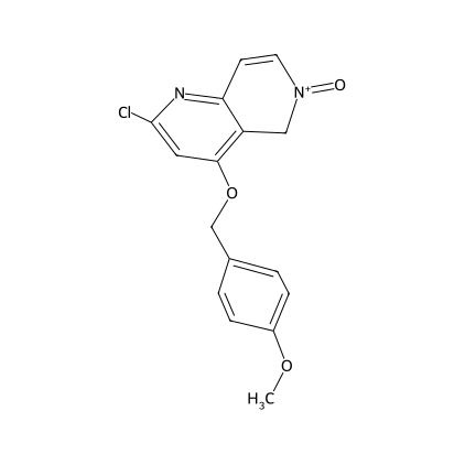 COc1ccc(COc2cc(Cl)nc3c2C[N+](=O)C=C3)cc1